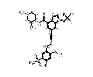 COc1cc(F)c(S(C)(=O)=O)cc1NCC#Cc1cc(C(=O)N[C@H]2CCN(C)C[C@@H]2C)c2ncn(CC(F)(F)F)c2c1